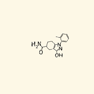 Cc1ccccc1-n1nc(O)c2c1CCC(C(N)=O)C2